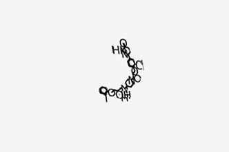 O=C1CCC(c2ccc(OCC(=O)N3CCC(NC[C@H](O)COc4ccccc4I)CC3)c(Cl)c2)=NN1